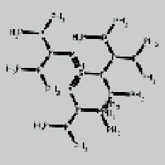 PP(P)P(/P=[SH](=P/P(P(P)P)P(P)P)/P(P(P)P)P(P(P)P)P(P)P)P(P)P